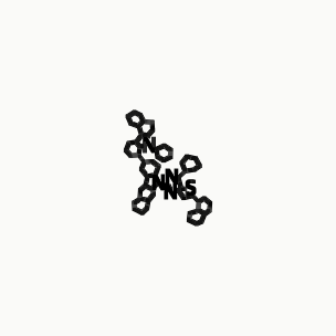 c1ccc(-c2nc(-n3c4ccc(-c5cccc6c7c8ccccc8ccc7n(-c7ccccc7)c56)cc4c4cc5ccccc5cc43)nc3cc(-c4cccc5ccccc45)sc23)cc1